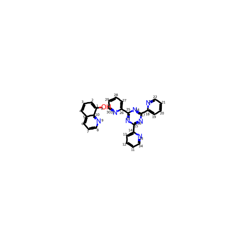 Oc1cccc2cccnc12.c1ccc(-c2nc(-c3ccccn3)nc(-c3ccccn3)n2)nc1